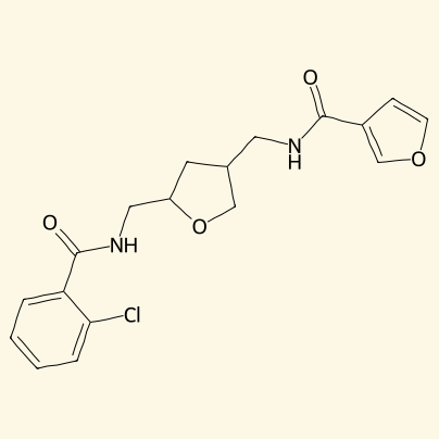 O=C(NCC1COC(CNC(=O)c2ccccc2Cl)C1)c1ccoc1